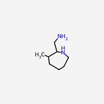 CC1CCCCNC1CN